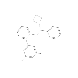 O[C@H](c1cccnc1-c1cc(Cl)cc(Cl)c1)[C@H](c1cccnc1)N1CCC1